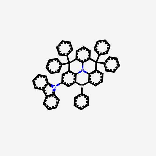 c1ccc(B2c3cccc4c3N3c5c2cc(-n2c6ccccc6c6ccccc62)cc5C(c2ccccc2)(c2ccccc2)c2cccc(c23)C4(c2ccccc2)c2ccccc2)cc1